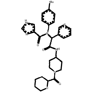 CC(C)(C)c1ccc(N(C(=O)c2c[nH]cn2)C(C(=O)NC2CCN(C(=O)C3CCCCO3)CC2)c2cccnc2)cc1